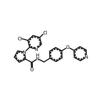 O=C(NCc1ccc(Oc2ccncc2)cc1)c1cccn1-c1ncc(Cl)cc1Cl